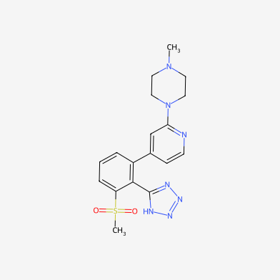 CN1CCN(c2cc(-c3cccc(S(C)(=O)=O)c3-c3nnn[nH]3)ccn2)CC1